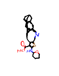 O=C(O)c1c(NC2CCCCO2)sc2c1C1Cc3cc4c(cc3=CN=C2)CC(CC=4)C1